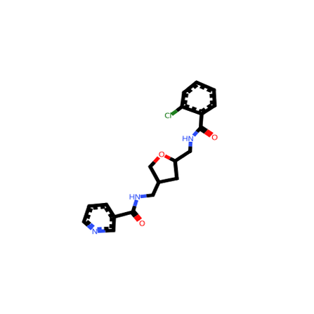 O=C(NCC1COC(CNC(=O)c2ccccc2Cl)C1)c1cccnc1